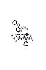 Cc1nc(/C(N)=C(\CN(N)/N=C(\N)c2ccc(F)cc2)N(C)N)ccc1OC1CCCCC1